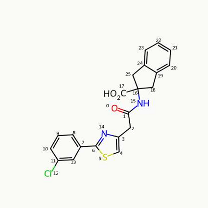 O=C(Cc1csc(-c2cccc(Cl)c2)n1)NC1(C(=O)O)Cc2ccccc2C1